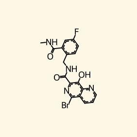 CNC(=O)c1cc(F)ccc1CNC(=O)c1nc(Br)c2cccnc2c1O